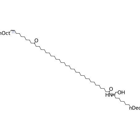 CCCCCCCC/C=C\CCCCCCCC(=O)CCCCCCCCCCCCCCCCCCCCCCCCCCCCCC(=O)N[C@@H](CO)CCCCCCCCCCCCCCCC